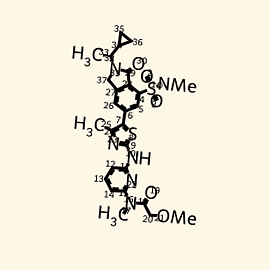 CNS(=O)(=O)c1cc(-c2sc(Nc3cccc(N(C)C(=O)COC)n3)nc2C)cc2c1C(=O)N([C@@H](C)C1CC1)C2